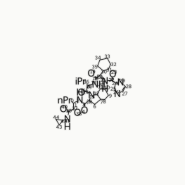 CCCC(NC(=O)[C@@H]1CC2CCCCC2N1C(=O)[C@@H](NC(=O)[C@@H](NC(=O)c1cnccn1)C1CCCCC1)C(C)C)C(=O)C(=O)NC1CC1